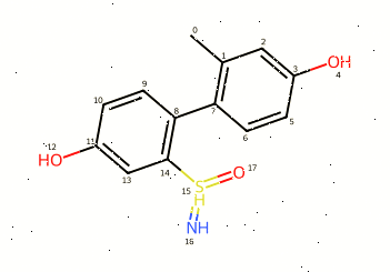 Cc1cc(O)ccc1-c1ccc(O)cc1[SH](=N)=O